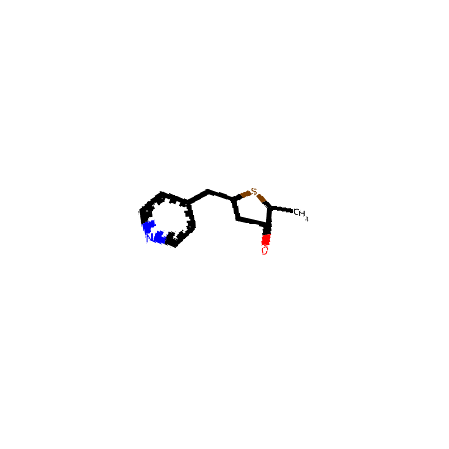 CC1SC(Cc2ccncc2)CC1=O